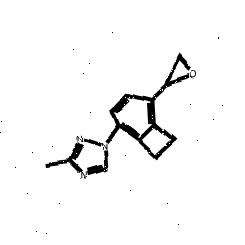 Cc1ncn(-c2ccc(C3CO3)c3c2CC3)n1